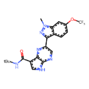 Cn1nc(-c2cnc3[nH]cc(C(=O)NC(C)(C)C)c3n2)c2ccc(OC(F)(F)F)cc21